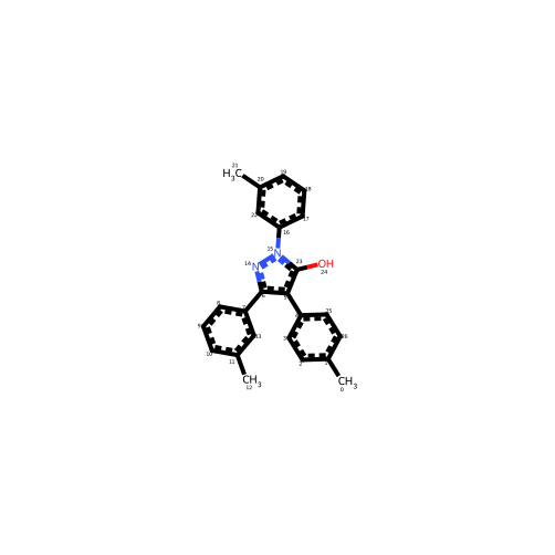 Cc1ccc(-c2c(-c3cccc(C)c3)nn(-c3cccc(C)c3)c2O)cc1